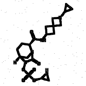 O=C(NC1CC2(C1)CN(C1CC1)C2)[C@@H]1CC[C@@H]2CN1C(=O)N2OS(=O)(=O)O[C@@H]1CN1